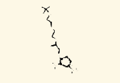 CC(C)(C)NCCOCCNC(=O)CNc1ccc([N+](=O)[O-])cc1[N+](=O)[O-]